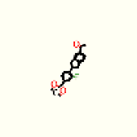 CC(=O)c1ccc2c(c1)C=C(c1ccc(C3OCCCO3)cc1F)C2